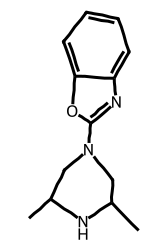 CC1CN(c2nc3ccccc3o2)CC(C)N1